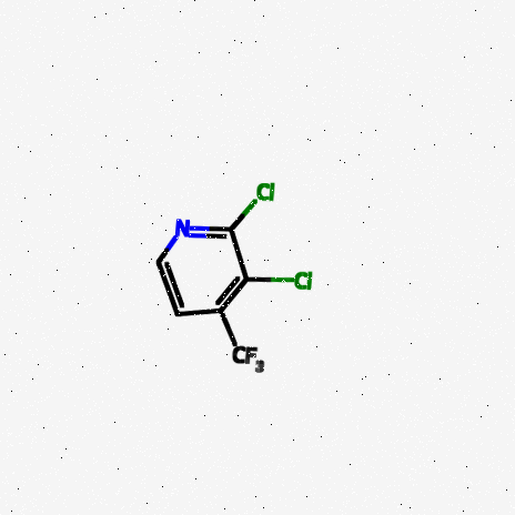 FC(F)(F)c1ccnc(Cl)c1Cl